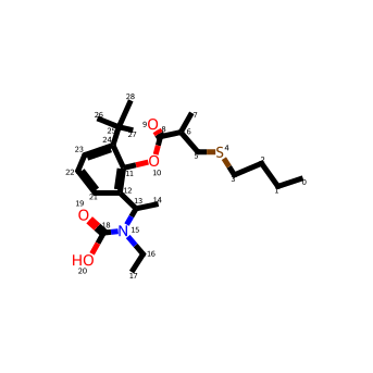 CCCCSCC(C)C(=O)Oc1c(C(C)N(CC)C(=O)O)cccc1C(C)(C)C